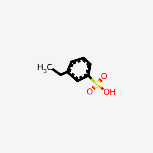 CCc1[c]ccc(S(=O)(=O)O)c1